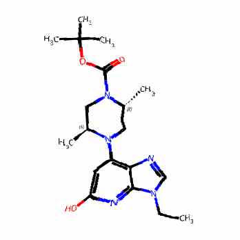 CCn1cnc2c(N3C[C@@H](C)N(C(=O)OC(C)(C)C)C[C@@H]3C)cc(O)nc21